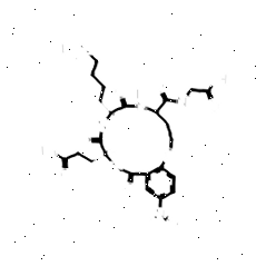 NCCCC[C@@H]1NC(=O)[C@H](CCC(=O)O)NC(=O)c2cc([N+](=O)[O-])ccc2OCCC(C(=O)NCC(=O)O)NC1=O